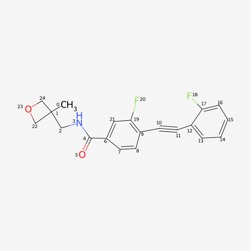 CC1(CNC(=O)c2ccc(C#Cc3ccccc3F)c(F)c2)COC1